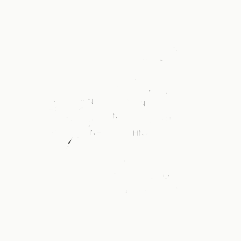 COc1ccc(N(C(=O)NCc2ccccc2OC)c2ccnc(N[C@@H](C)C(C)(C)O)n2)cc1